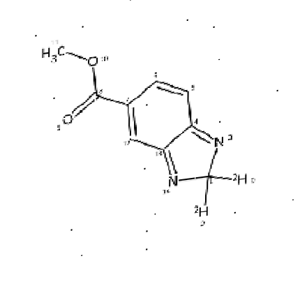 [2H]C1([2H])N=c2ccc(C(=O)OC)cc2=N1